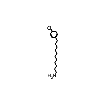 NCCCCCCCCCCCc1ccc(Cl)cc1